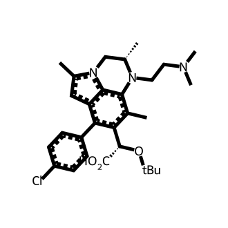 Cc1c([C@H](OC(C)(C)C)C(=O)O)c(-c2ccc(Cl)cc2)c2cc(C)n3c2c1N(CCN(C)C)[C@@H](C)C3